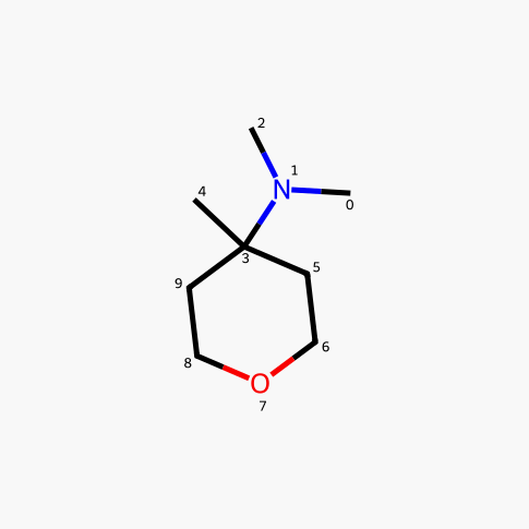 CN(C)C1(C)CCOCC1